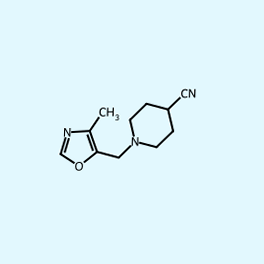 Cc1ncoc1CN1CCC(C#N)CC1